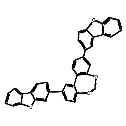 c1ccc2c(c1)oc1cc(-c3ccc4c(c3)-c3ccc(-c5ccc6oc7ccccc7c6c5)cc3OCO4)ccc12